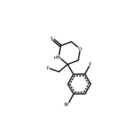 FCC1(c2cc(Br)ccc2F)COCC(=S)N1